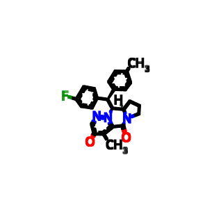 Cc1ccc([C@H](c2ccc(F)cc2)[C@H]2[C@H]3CCCN3C(=O)c3c(C)c(=O)cnn32)cc1